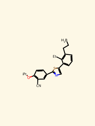 BCCc1cccc(-c2cnc(-c3ccc(OC(C)C)c(C#N)c3)s2)c1CC